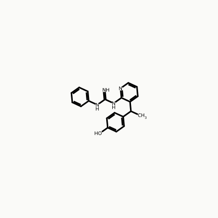 CC(c1ccc(O)cc1)c1cccnc1NC(=N)Nc1ccccc1